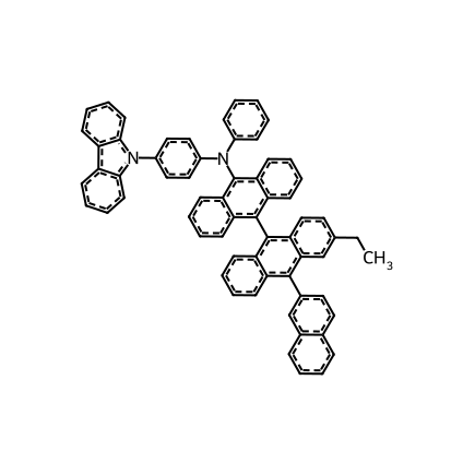 CCc1ccc2c(-c3c4ccccc4c(N(c4ccccc4)c4ccc(-n5c6ccccc6c6ccccc65)cc4)c4ccccc34)c3ccccc3c(-c3ccc4ccccc4c3)c2c1